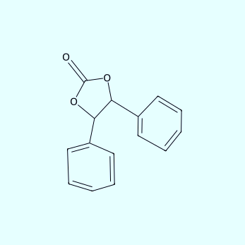 O=C1OC(c2ccccc2)C(c2ccccc2)O1